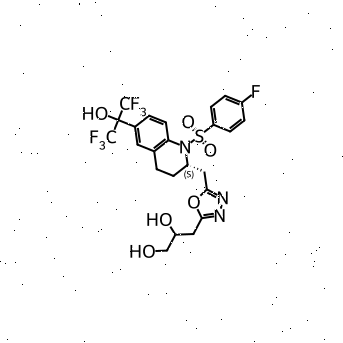 O=S(=O)(c1ccc(F)cc1)N1c2ccc(C(O)(C(F)(F)F)C(F)(F)F)cc2CC[C@H]1Cc1nnc(CC(O)CO)o1